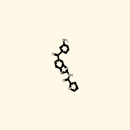 Nc1cccc(C(=O)c2ccc3nc(NC(=O)c4ccco4)sc3c2)c1